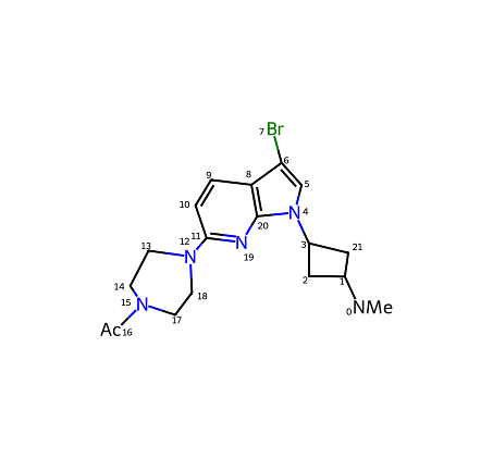 CNC1CC(n2cc(Br)c3ccc(N4CCN(C(C)=O)CC4)nc32)C1